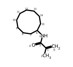 C=C(C)C(=O)NC1CCCCCCCCC1